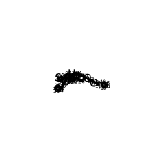 C[C@]12CCC(OCCOCCN3CCCC3)CC1CC[C@@H]1[C@H]2CC[C@@]2(C)[C@H]1CCC2(OCCN1CCCC1)c1ccsc1